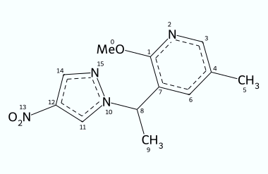 COc1ncc(C)cc1C(C)n1cc([N+](=O)[O-])cn1